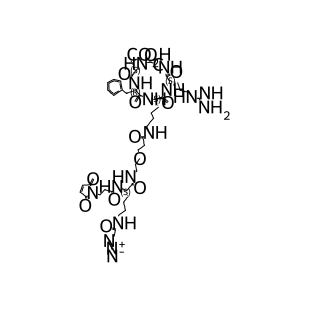 [N-]=[N+]=NCC(=O)NCCCC[C@H](NC(=O)CCN1C(=O)C=CC1=O)C(=O)NCCOCCC(=O)NCCCC[C@@H]1NC(=O)[C@@H](Cc2ccccc2)NC(=O)[C@H](CC(=O)O)NC(=O)CNC(=O)[C@H](CCCNC(=N)N)NC1=O